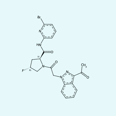 CC(=O)c1nn(CC(=O)N2C[C@H](F)C[C@H]2C(=O)Nc2cccc(Br)n2)c2ccccc12